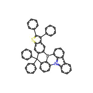 c1ccc(-c2sc3cc4c(cc3c2-c2ccccc2)B2c3c(cccc3C4(c3ccccc3)c3ccccc3)-n3c4ccccc4c4cccc2c43)cc1